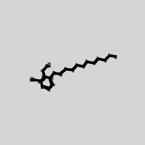 CCCCCCCCCCCCc1cccc(O)c1CO